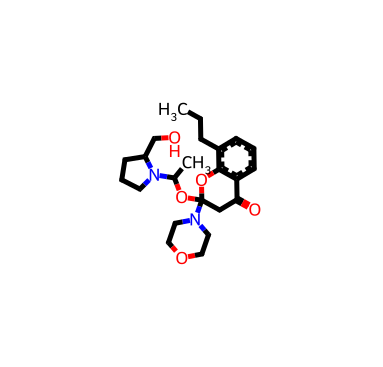 CCCc1cccc2c1OC(OC(C)N1CCCC1CO)(N1CCOCC1)CC2=O